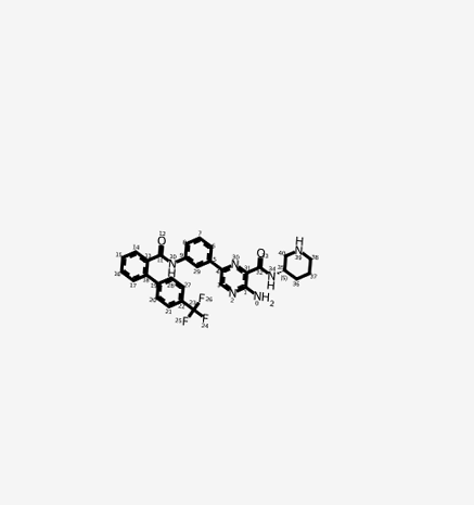 Nc1ncc(-c2cccc(NC(=O)c3ccccc3-c3ccc(C(F)(F)F)cc3)c2)nc1C(=O)N[C@H]1CCCNC1